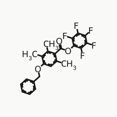 Cc1cc(OCc2ccccc2)c(C)c(C)c1C(=O)Oc1c(F)c(F)c(F)c(F)c1F